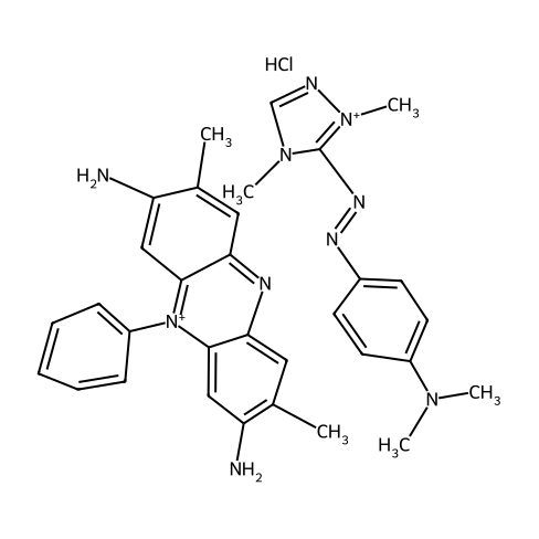 CN(C)c1ccc(/N=N/c2n(C)cn[n+]2C)cc1.Cc1cc2nc3cc(C)c(N)cc3[n+](-c3ccccc3)c2cc1N.Cl